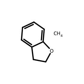 C.c1ccc2c(c1)CCO2